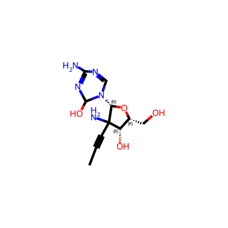 CC#CC1(N)[C@@H](O)[C@@H](CO)O[C@H]1N1C=NC(N)=NC1O